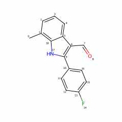 Cc1cccc2c(C=O)c(-c3ccc(F)cc3)[nH]c12